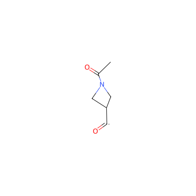 CC(=O)N1CC([C]=O)C1